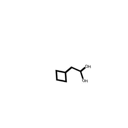 OC(O)CC1CCC1